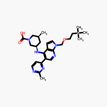 Cc1nccc(-c2cnc3c(ccn3COCC[Si](C)(C)C)c2N[C@@H]2C[C@H](C)CN(C(=O)O)C2)n1